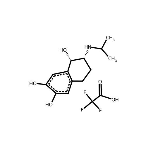 CC(C)N[C@@H]1CCc2cc(O)c(O)cc2[C@@H]1O.O=C(O)C(F)(F)F